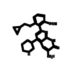 Cl.O=C(O)c1cc2c(C3CCCNC3)cc(-c3c(O)cccc3OCC3CC3)nc2[nH]c1=O